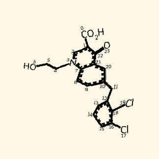 O=C(O)c1cn(CCO)c2ccc(Cc3cccc(Cl)c3Cl)cc2c1=O